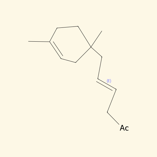 CC(=O)C/C=C/CC1(C)CC=C(C)CC1